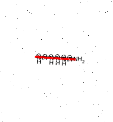 C=C(C)C(=O)NCCCCC(=O)NCCCCC(=O)NCCCCC(=O)NCCCCC(=O)NCCCCC(=O)NCCCCN